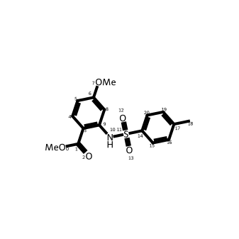 COC(=O)c1ccc(OC)cc1NS(=O)(=O)c1ccc(C)cc1